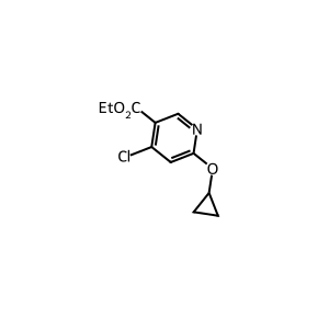 CCOC(=O)c1cnc(OC2CC2)cc1Cl